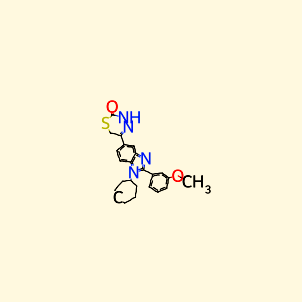 COc1cccc(-c2nc3cc(C4=NNC(=O)SC4)ccc3n2C2CCCCCC2)c1